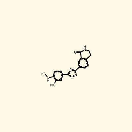 CC(C)Nc1ccc(-c2nc(-c3ccc4c(c3)C(=O)NCC4)no2)cc1C#N